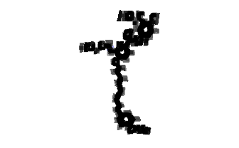 COc1ccc(CCCCCCCCOc2ccc(C(=O)Nc3ccc(Cl)c(C(=O)O)c3)nc2/C=C/C(=O)O)cc1